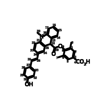 Cc1cc(C(=O)O)cc(C)c1OC(=O)C1c2ccccc2N(C)c2ccc(C=Cc3ccc(O)cc3)cc21